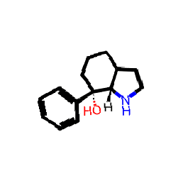 O[C@]1(c2ccccc2)CCCC2CCN[C@@H]21